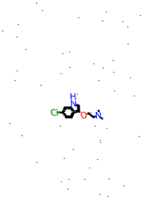 CN(C)CCOc1c[nH]c2cc(Cl)ccc12